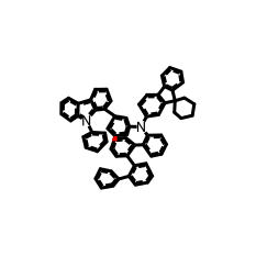 c1ccc(-c2ccccc2-c2ccccc2-c2ccccc2N(c2cccc(-c3cccc4c5ccccc5n(-c5ccccc5)c34)c2)c2ccc3c(c2)C2(CCCCC2)c2ccccc2-3)cc1